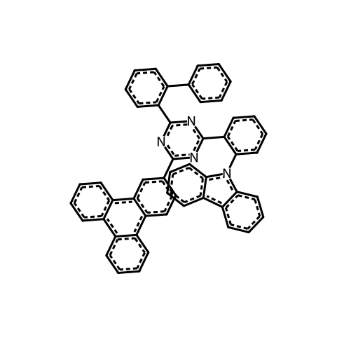 c1ccc(-c2ccccc2-c2nc(-c3ccc4c5ccccc5c5ccccc5c4c3)nc(-c3ccccc3-n3c4ccccc4c4ccccc43)n2)cc1